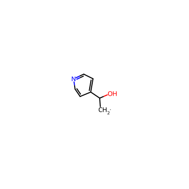 [CH2]C(O)c1ccncc1